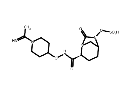 CC(=N)N1CCC(ONC(=O)[C@@H]2CCC3CN2C(=O)N3OS(=O)(=O)O)CC1